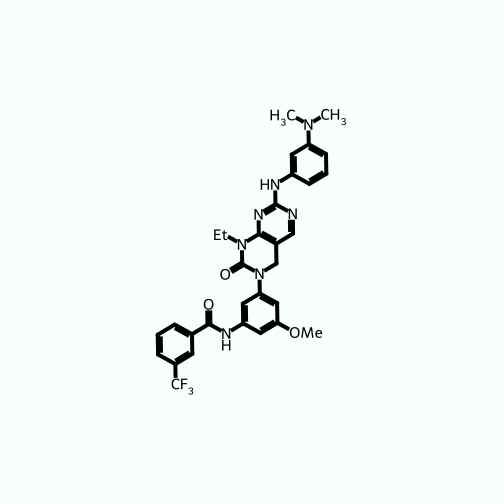 CCN1C(=O)N(c2cc(NC(=O)c3cccc(C(F)(F)F)c3)cc(OC)c2)Cc2cnc(Nc3cccc(N(C)C)c3)nc21